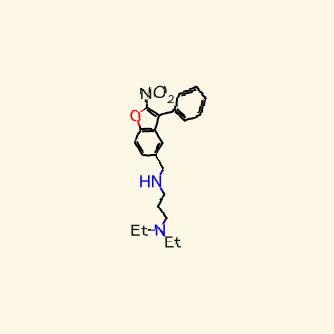 CCN(CC)CCCNCc1ccc2oc([N+](=O)[O-])c(-c3ccccc3)c2c1